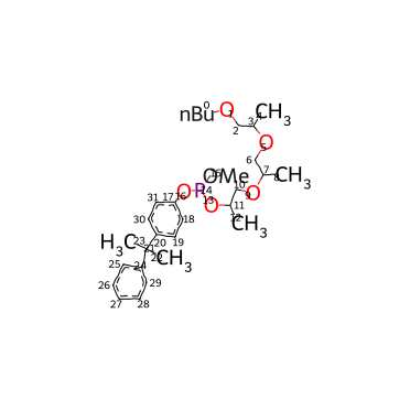 CCCCOCC(C)OCC(C)OCC(C)OP(OC)Oc1ccc(C(C)(C)c2ccccc2)cc1